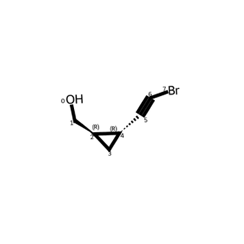 OC[C@@H]1C[C@H]1C#CBr